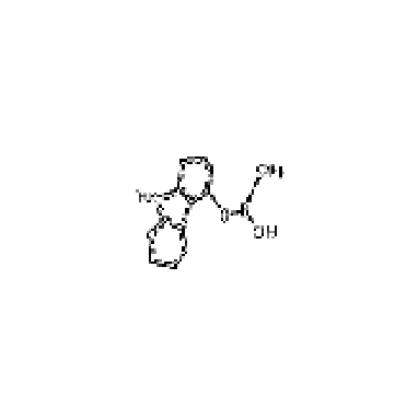 OB(O)Oc1cccc2[nH]c3ccccc3c12